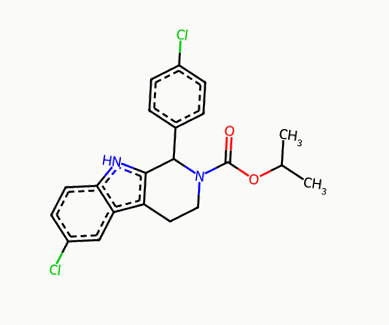 CC(C)OC(=O)N1CCc2c([nH]c3ccc(Cl)cc23)C1c1ccc(Cl)cc1